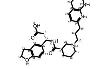 O=C(O)C[C@H](NC(=O)[C@@H]1CCCN(CCCc2ccc3c(n2)NCCC3)C1)c1ccc2c(c1)CCO2